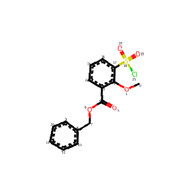 COc1c(C(=O)OCc2ccccc2)cccc1S(=O)(=O)Cl